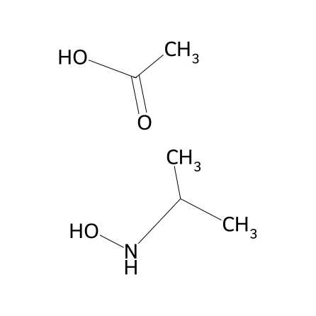 CC(=O)O.CC(C)NO